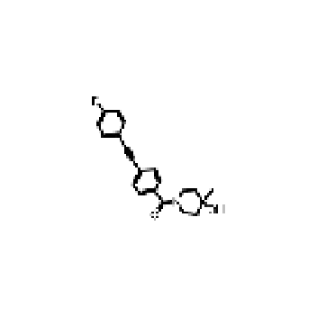 CC1(O)CCN(C(=O)c2ccc(C#Cc3ccc(F)cc3)cc2)CC1